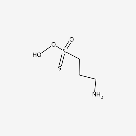 NCCCS(=O)(=S)OO